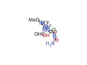 COCCn1cc(-c2cnc3c(Nc4ccc(C(=O)N5CCN(C(=O)CCN)CC5)c(Cl)c4)nccn23)c(C(F)(F)F)n1.O=CO